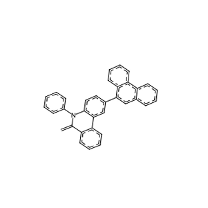 C=C1c2ccccc2-c2cc(-c3cc4ccccc4c4ccccc34)ccc2N1c1ccccc1